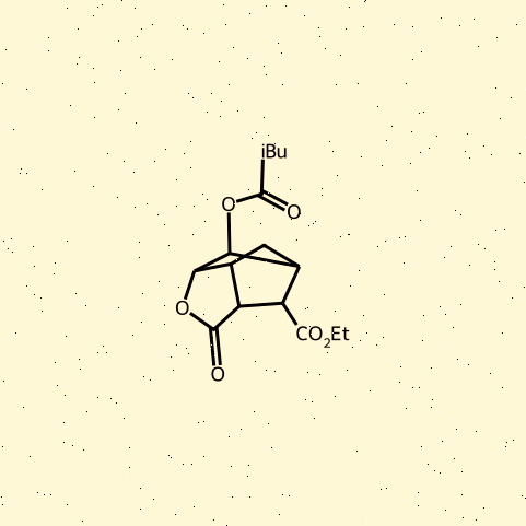 CCOC(=O)C1C2CC3C(OC(=O)C31)C2OC(=O)C(C)CC